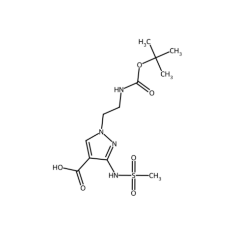 CC(C)(C)OC(=O)NCCn1cc(C(=O)O)c(NS(C)(=O)=O)n1